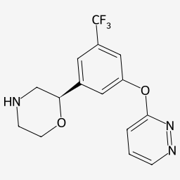 FC(F)(F)c1cc(Oc2cccnn2)cc([C@@H]2CNCCO2)c1